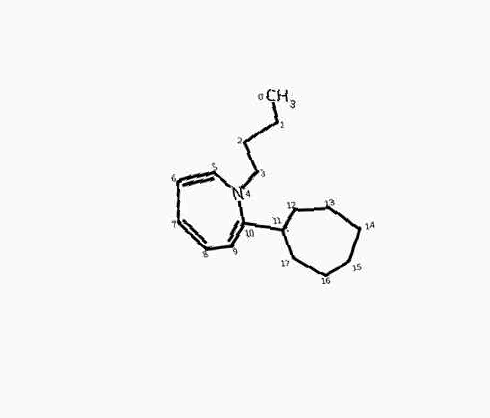 CCCCN1C=CC=CC=C1[C]1CCCCCC1